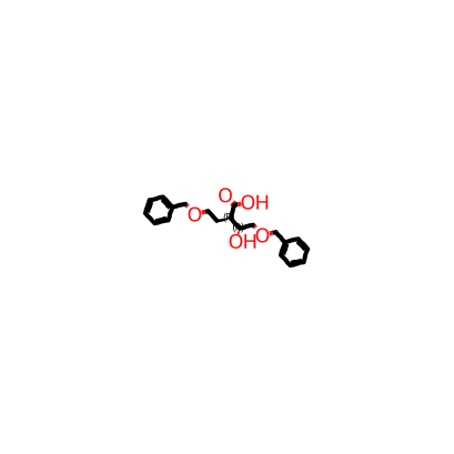 O=C(O)[C@H](CCOCc1ccccc1)[C@@H](O)COCc1ccccc1